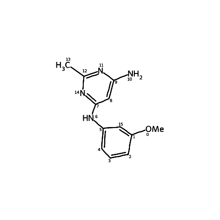 COc1cccc(Nc2cc(N)nc(C)n2)c1